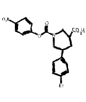 CCc1ccc(C2CC(C(=O)O)CN(C(=O)Oc3ccc([N+](=O)[O-])cc3)C2)cc1